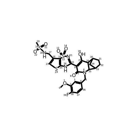 COc1cc(CN2C(=O)C(C3=NS(=O)(=O)c4c(CNS(C)(=O)=O)csc4N3)=C(O)C3C4CCC(C4)C32)ccc1F